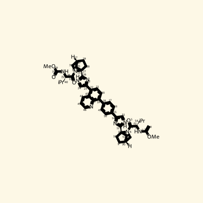 C=C(N[C@H](C(=O)N1C[C@@H]2CC[C@@]1(c1nc(-c3ccc(-c4ccc(-c5c[nH]c([C@@]67CC[C@@H](CN6C(=O)[C@@H](NC(=O)OC)C(C)C)C7)n5)c5cccnc45)cc3)c[nH]1)C2)C(C)C)OC